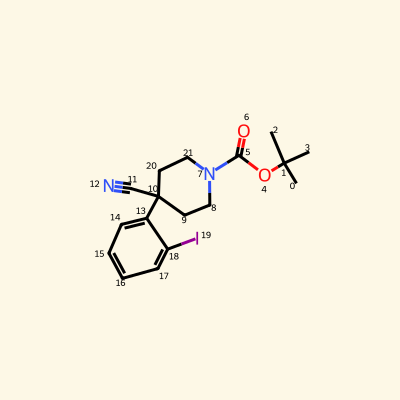 CC(C)(C)OC(=O)N1CCC(C#N)(c2ccccc2I)CC1